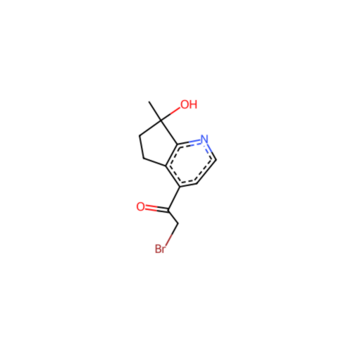 CC1(O)CCc2c(C(=O)CBr)ccnc21